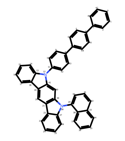 c1ccc(-c2ccc(-c3ccc(-n4c5ccccc5c5cc6c7ccccc7n(-c7cccc8ccccc78)c6cc54)cc3)cc2)cc1